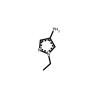 CCn1cc(P)cn1